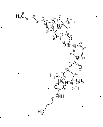 CCCCNC(=O)ON1C(C)(C)CC(OC(=O)c2cccc(C(=O)OC3CC(C)(C)N(OC(=O)NCCCC)C(C)(C)C3)c2)CC1(C)C